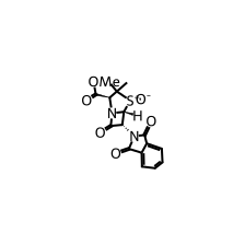 COC(=O)[C@@H]1N2C(=O)[C@@H](N3C(=O)c4ccccc4C3=O)[C@H]2[S+]([O-])C1(C)C